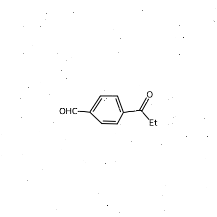 CCC(=O)c1ccc(C=O)cc1